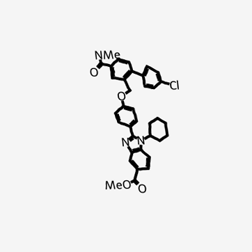 CNC(=O)c1ccc(-c2ccc(Cl)cc2)c(COc2ccc(-c3nc4cc(C(=O)OC)ccc4n3C3CCCCC3)cc2)c1